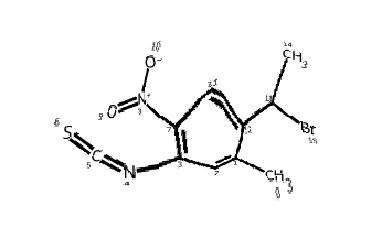 Cc1cc(N=C=S)c([N+](=O)[O-])cc1C(C)Br